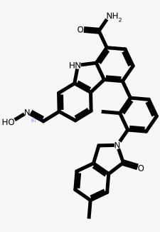 Cc1ccc2c(c1)C(=O)N(c1cccc(-c3ccc(C(N)=O)c4[nH]c5cc(/C=N/O)ccc5c34)c1C)C2